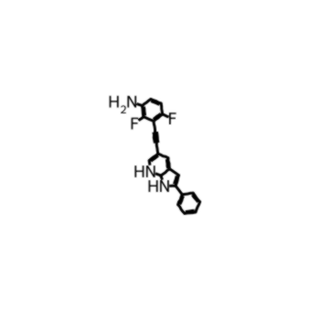 Nc1ccc(F)c(C#CC2=CNC3NC(c4ccccc4)=CC3=C2)c1F